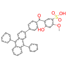 COc1cc(O)c(C(=O)c2ccc(-c3ccc4c(-c5ccccc5)c5ccccc5c(-c5ccccc5)c4c3)cc2)cc1S(=O)(=O)O